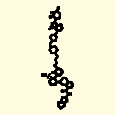 Cc1c(OCCCC2CCN(CC3CCN(c4cccc5c(C6CCC(=O)NC6=O)nn(C)c45)CC3)CC2)cccc1-c1c(N2CCc3cccc(C(=O)Nc4nc5ccccc5s4)c3C2)ccnc1C(=O)O